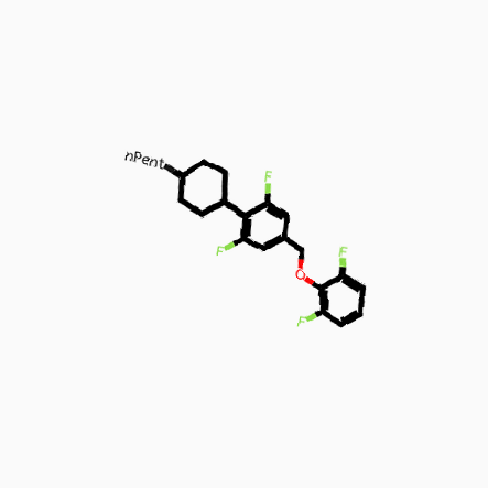 CCCCCC1CCC(c2c(F)cc(COc3c(F)cccc3F)cc2F)CC1